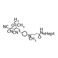 CCCCCCCNC(=O)CCCN(C)c1ccc(/C=C/C2=C(C#N)C(=C(C#N)C#N)OC2(C)C)cc1